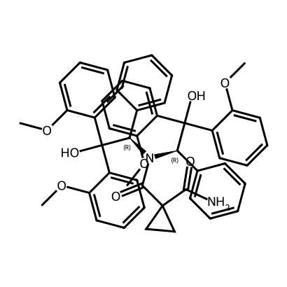 COc1ccccc1C(O)(c1ccccc1OC)[C@@H](c1ccccc1)N(C(=O)C1(C(N)=O)CC1)[C@H](c1ccccc1)C(O)(c1ccccc1OC)c1ccccc1OC